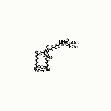 CCCCCCCCCCOC(=O)CCCCCC(=O)OCC(COC(=O)CCCCCCCNC(=O)OC(CCCCCCCC)CCCCCCCC)COC(=O)OCCCN(CC)CC